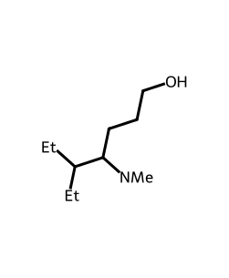 CCC(CC)C(CCCO)NC